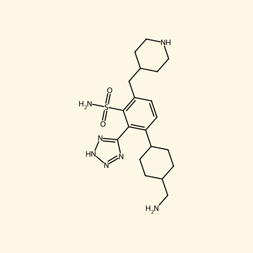 NCC1CCC(c2ccc(CC3CCNCC3)c(S(N)(=O)=O)c2-c2nn[nH]n2)CC1